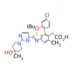 Cc1cc2nc(-c3ccnc(N4CCC(C)(O)CC4)n3)sc2c(-c2ccc(Cl)cc2OC(C)(C)C)c1CC(=O)O